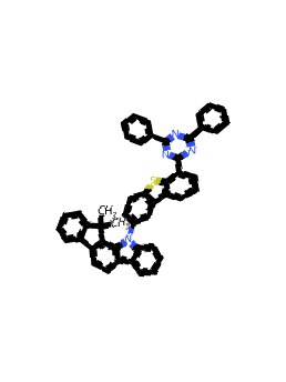 CC1(C)c2ccccc2-c2ccc3c4ccccc4n(-c4ccc5sc6c(-c7nc(-c8ccccc8)nc(-c8ccccc8)n7)cccc6c5c4)c3c21